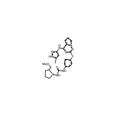 COCC1CCCN1NC(=O)Nc1ccc(Sc2nc(Nc3cc(C)[nH]n3)c3cccn3n2)cc1